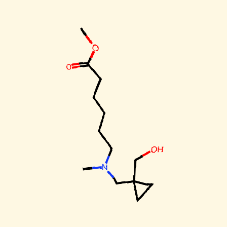 COC(=O)CCCCCN(C)CC1(CO)CC1